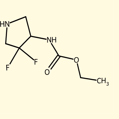 CCOC(=O)NC1CNCC1(F)F